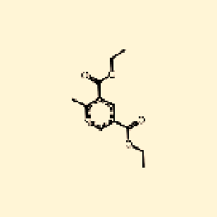 CCOC(=O)c1cnc(C)c(C(=O)OCC)c1